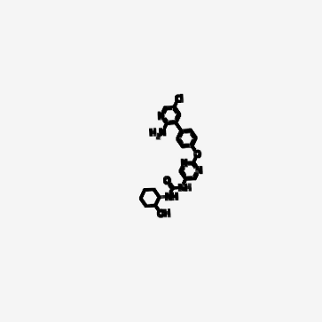 Nc1ncc(Cl)cc1-c1ccc(Oc2ncc(NC(=O)NC3CCCCC3O)cn2)cc1